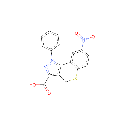 O=C(O)c1nn(-c2ccccc2)c2c1CSc1ccc([N+](=O)[O-])cc1-2